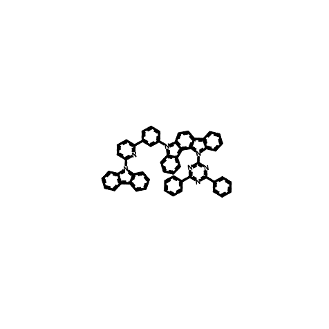 c1ccc(-c2nc(-c3ccccc3)nc(-n3c4ccccc4c4ccc5c(c6ccccc6n5-c5cccc(-c6cccc(-n7c8ccccc8c8ccccc87)n6)c5)c43)n2)cc1